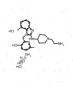 Cc1ccc(O)c(Cn2c(NC3CCN(CCN)CC3)nc3cccc(C)c32)n1.Cl.Cl.Cl.Cl.O.O